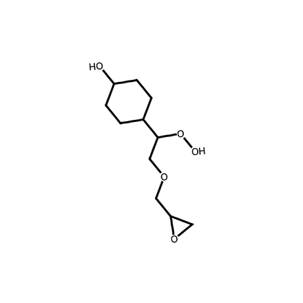 OOC(COCC1CO1)C1CCC(O)CC1